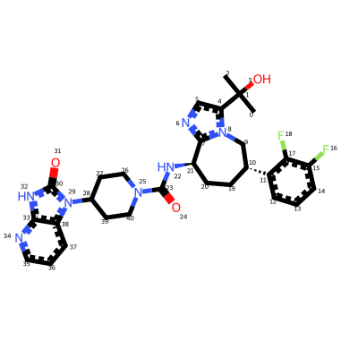 CC(C)(O)c1cnc2n1C[C@H](c1cccc(F)c1F)CC[C@H]2NC(=O)N1CCC(n2c(=O)[nH]c3ncccc32)CC1